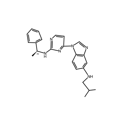 CC(C)CNc1ccc2c(c1)ncn2-c1ccnc(N[C@@H](C)c2ccccc2)n1